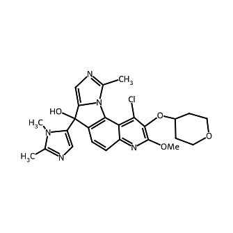 COc1nc2ccc3c(c2c(Cl)c1OC1CCOCC1)-n1c(cnc1C)C3(O)c1cnc(C)n1C